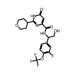 O=C(NC(CO)c1ccc(OC(F)(F)F)c(F)c1)c1cc(=O)[nH]c(C2CCOCC2)n1